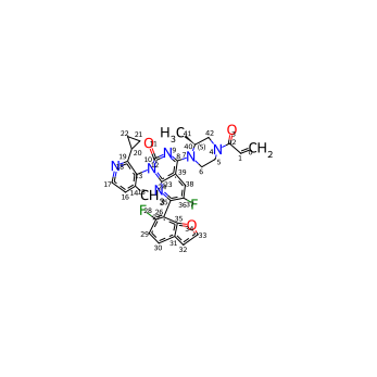 C=CC(=O)N1CCN(c2nc(=O)n(-c3c(C)ccnc3C3CC3)c3nc(-c4c(F)ccc5ccoc45)c(F)cc23)[C@@H](C)C1